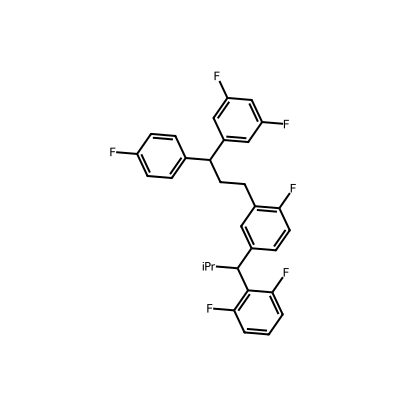 CC(C)C(c1ccc(F)c(CCC(c2ccc(F)cc2)c2cc(F)cc(F)c2)c1)c1c(F)cccc1F